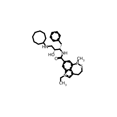 CCn1cc2c3c(cc(C(=O)N[C@@H](Cc4ccccc4)[C@H](O)CNC4CCCCCCC4)cc31)N(C)SCC2